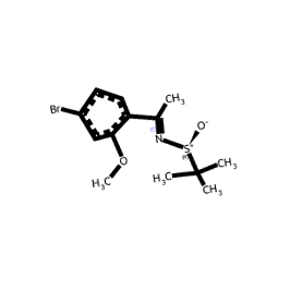 COc1cc(Br)ccc1/C(C)=N/[S@@+]([O-])C(C)(C)C